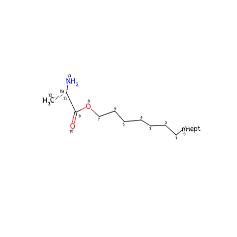 CCCCCCCCCCCCCCOC(=O)[C@H](C)N